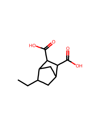 CCC1CC2CC1C(C(=O)O)C2C(=O)O